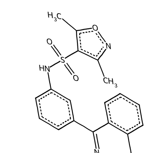 Cc1noc(C)c1S(=O)(=O)Nc1cccc(C2=NCCc3ccccc32)c1